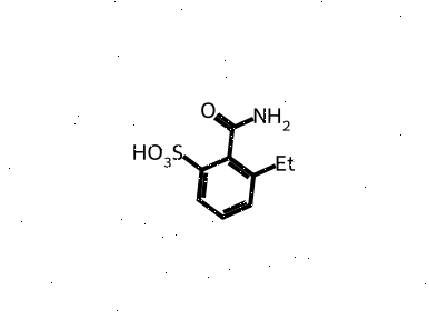 CCc1cccc(S(=O)(=O)O)c1C(N)=O